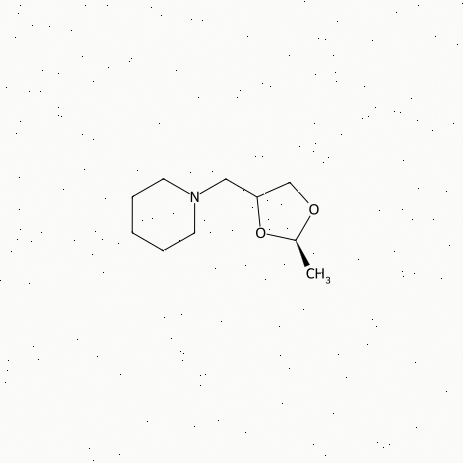 C[C@@H]1OCC(CN2CCCCC2)O1